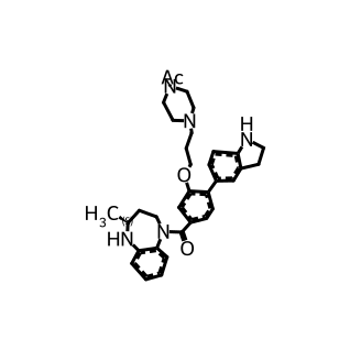 CC(=O)N1CCN(CCCOc2cc(C(=O)N3CC[C@H](C)Nc4ccccc43)ccc2-c2ccc3c(c2)CCN3)CC1